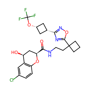 O=C(NCCC1(c2nc([C@H]3C[C@@H](OC(F)(F)F)C3)no2)CCC1)[C@@H]1C[C@H](O)c2cc(Cl)ccc2O1